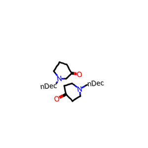 CCCCCCCCCCN1CCC(=O)CC1.CCCCCCCCCCN1CCCC(=O)C1